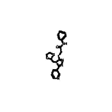 O=C(CSc1nnc(-c2cccnc2)n1CC1OCCO1)Nc1ccccc1